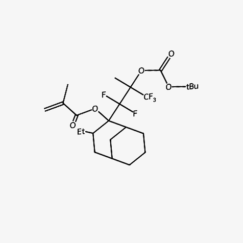 C=C(C)C(=O)OC1(C(F)(F)C(C)(OC(=O)OC(C)(C)C)C(F)(F)F)C(CC)CC2CCCC1C2